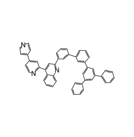 c1ccc(-c2cc(-c3ccccc3)cc(-c3cccc(-c4cccc(-c5cc(-c6cc(-c7ccncc7)ccn6)c6ccccc6n5)c4)c3)c2)cc1